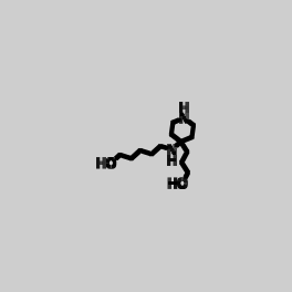 OCCCCCNC1(CCCO)CCNCC1